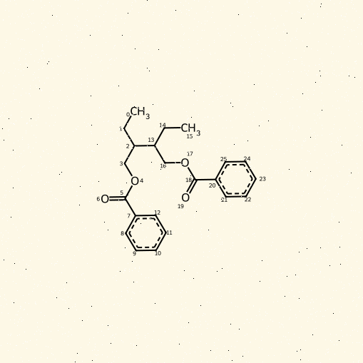 CCC(COC(=O)c1ccccc1)C(CC)COC(=O)c1ccccc1